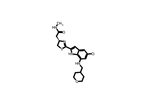 CNC(=O)C[C@@H]1CSC(c2cc3cc(Cl)cc(NCC4CCOCC4)c3[nH]2)=N1